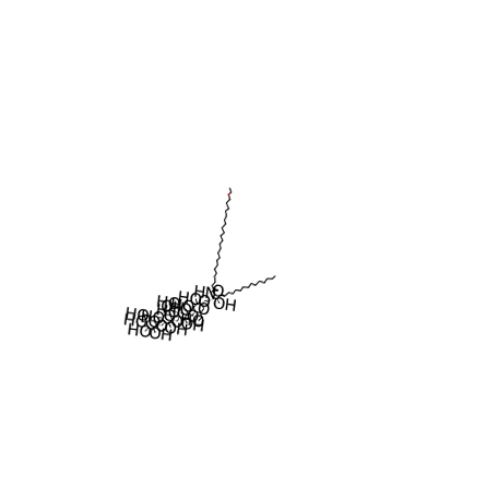 CCCCCCCCCCCCC/C=C/[C@@H](O)[C@H](CO[C@@H]1OC(CO)[C@@H](O[C@@H]2OC(CO)[C@H](O)[C@H](O[C@H]3OC(CO)[C@H](O)[C@H](O[C@H]4OC(CO)[C@H](O)[C@H](O)C4O)C3O)C2O)[C@H](O)C1O)NC(=O)CCCCCCCCCCCCCCCCCCCCCCCCC